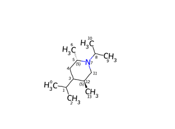 CC(C)C1C[C@H](C)N(C(C)C)C[C@H]1C